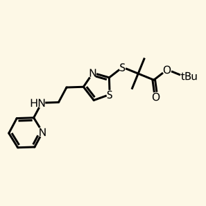 CC(C)(C)OC(=O)C(C)(C)Sc1nc(CCNc2ccccn2)cs1